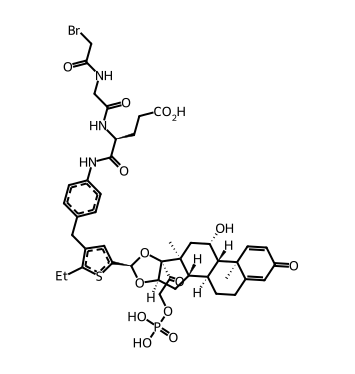 CCc1sc([C@@H]2O[C@@H]3C[C@H]4[C@@H]5CCC6=CC(=O)C=C[C@]6(C)[C@H]5[C@@H](O)C[C@]4(C)[C@]3(C(=O)COP(=O)(O)O)O2)cc1Cc1ccc(NC(=O)[C@H](CCC(=O)O)NC(=O)CNC(=O)CBr)cc1